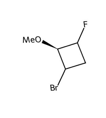 CO[C@H]1C(F)CC1Br